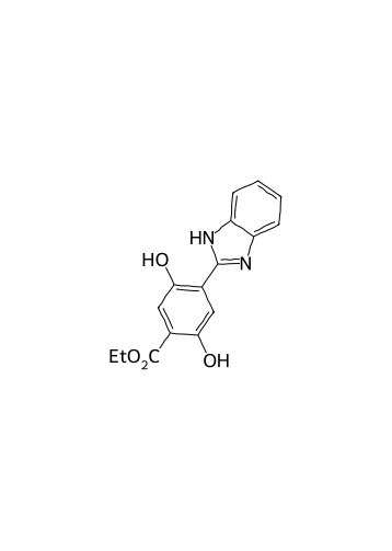 CCOC(=O)c1cc(O)c(-c2nc3ccccc3[nH]2)cc1O